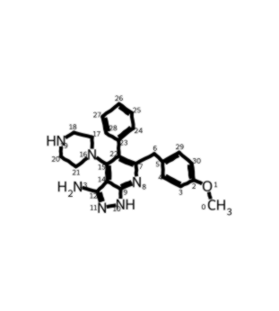 COc1ccc(Cc2nc3[nH]nc(N)c3c(N3CCNCC3)c2-c2ccccc2)cc1